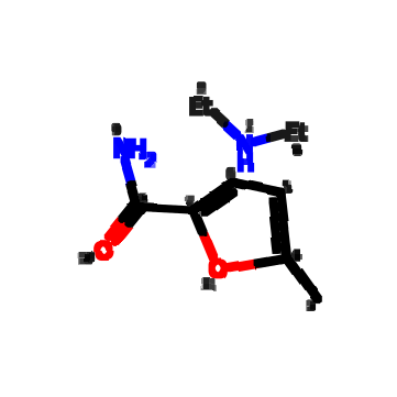 CCNCC.Cc1ccc(C(N)=O)o1